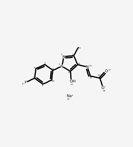 Cc1nn(-c2ccc(F)cc2)c(O)c1N=CC(=O)[O-].[Na+]